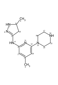 Cc1cc(NC2=NNC(C)C2)nc(N2CCNCC2)c1